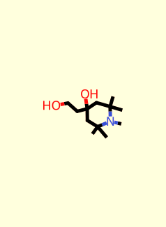 CN1C(C)(C)CC(O)(CCO)CC1(C)C